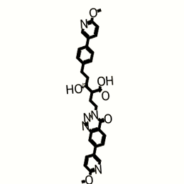 COc1ccc(-c2ccc(CC[C@@H](O)C(CCn3nnc4cc(-c5ccc(OC)nc5)ccc4c3=O)C(=O)O)cc2)cn1